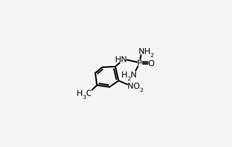 Cc1ccc(NP(N)(N)=O)c([N+](=O)[O-])c1